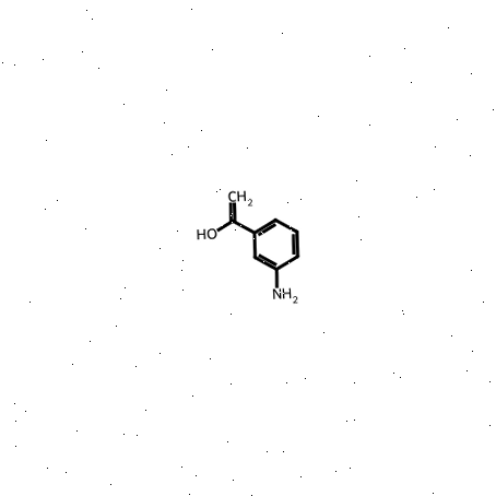 C=C(O)c1cccc(N)c1